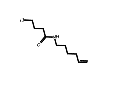 C=CCCCCNC(=O)CCCCl